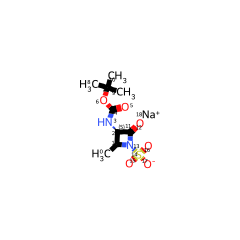 CC1[C@H](NC(=O)OC(C)(C)C)C(=O)N1S(=O)(=O)[O-].[Na+]